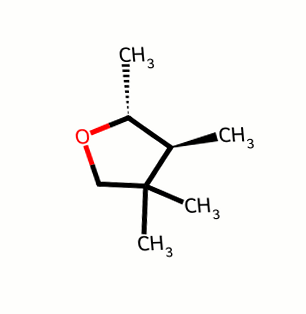 C[C@@H]1[C@@H](C)OCC1(C)C